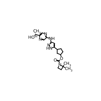 C[C@@H](O)c1cnc(Nc2cc(C3CCC(OC(=O)N4CCC4(C)C)C3)[nH]n2)cn1